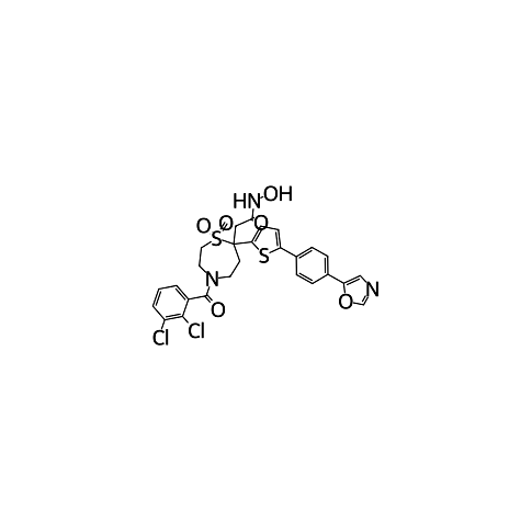 O=C(CC1(c2ccc(-c3ccc(-c4cnco4)cc3)s2)CCN(C(=O)c2cccc(Cl)c2Cl)CCS1(=O)=O)NO